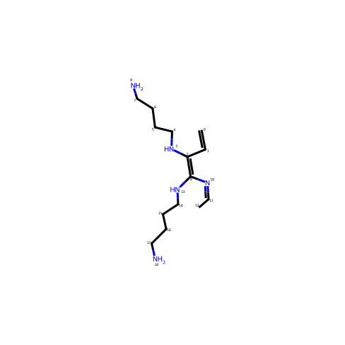 C=C/C(NCCCCN)=C(\N=C/C)NCCCCN